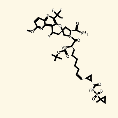 COc1ccc2nc(C(F)(F)F)c3c(c2n1)C(F)C[C@]1(C[C@@H](C(N)=O)N(C(=O)[C@H](CCCCC/C=C\[C@@H]2C[C@@H]2C(=O)NS(=O)(=O)C2(C)CC2)NC(=O)OC(C)(C)C)C1)O3